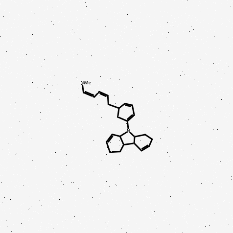 CN/C=C\C=C/CC1C=CC=C(N2C3C=CCCC3C3C=CCCC32)C1